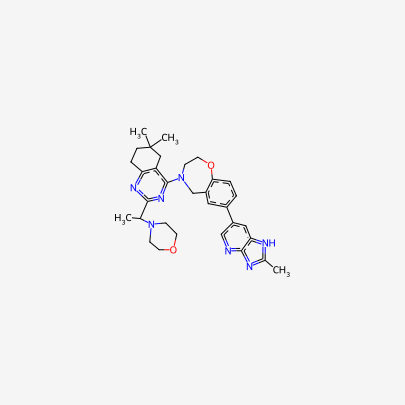 Cc1nc2ncc(-c3ccc4c(c3)CN(c3nc(C(C)N5CCOCC5)nc5c3CC(C)(C)CC5)CCO4)cc2[nH]1